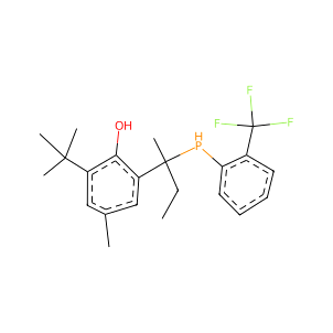 CCC(C)(Pc1ccccc1C(F)(F)F)c1cc(C)cc(C(C)(C)C)c1O